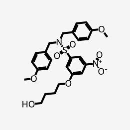 COc1ccc(CN(Cc2ccc(OC)cc2)S(=O)(=O)c2cc(OCCCCO)cc([N+](=O)[O-])c2)cc1